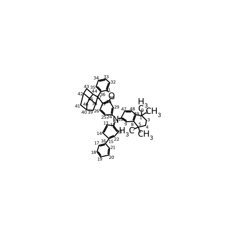 CC1(C)CCC(C)(C)c2cc(N(c3ccc(-c4ccccc4)cc3)c3ccc4c(c3)Oc3ccccc3C43C4CC5CC6CC3C64C5)ccc21